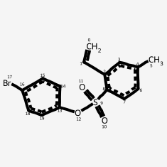 C=Cc1cc(C)ccc1S(=O)(=O)Oc1ccc(Br)cc1